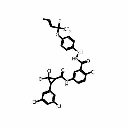 C/C=C/C(F)(Oc1ccc(NNC(=O)c2cc(NC(=O)C3C(c4cc(Cl)cc(Cl)c4)C3(Cl)Cl)ccc2Cl)cc1)C(F)(F)F